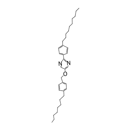 CCCCCCCCCCc1ccc(-c2ncc(OCc3ccc(CCCCCCCC)cc3)cn2)cc1